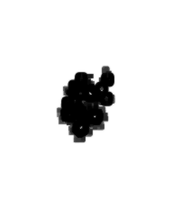 COCOc1cc([N+](=O)[O-])c(C(C(NC(c2ccccc2)(c2ccccc2)c2ccccc2)C(=O)O)C(C)(C)C)cc1C=O